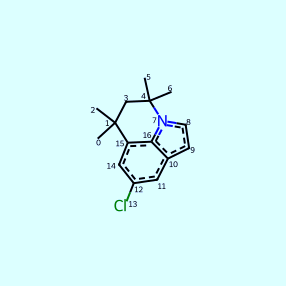 CC1(C)CC(C)(C)n2ccc3cc(Cl)cc1c32